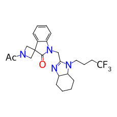 CC(=O)N1CC2(C1)C(=O)N(CC1=NC3CCCCC3N1CCCC(F)(F)F)c1ccccc12